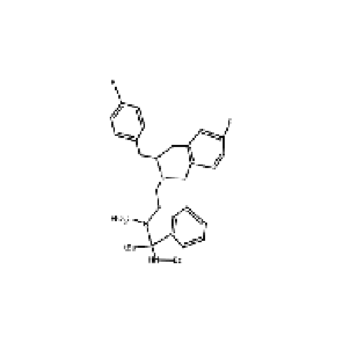 CCNC(c1ccccc1)(N(CCN1Cc2ccc(F)cc2CC1Cc1ccc(F)cc1)C(=O)O)C(C)(C)C